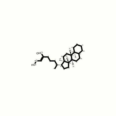 CC(CCCC(C=O)=COO)[C@H]1CC[C@H]2[C@@H]3CCC4CCCC[C@]4(C)[C@H]3CC[C@]12C